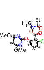 CCC(=O)N(C)OC(=O)c1c(Cl)cccc1Oc1nc(OC)cc(OC)n1